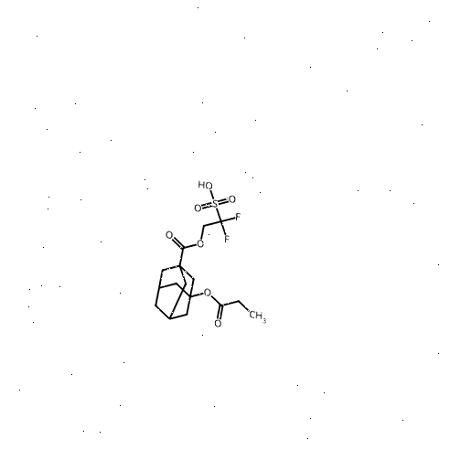 CCC(=O)OC12CC3CC(C1)CC(C(=O)OCC(F)(F)S(=O)(=O)O)(C3)C2